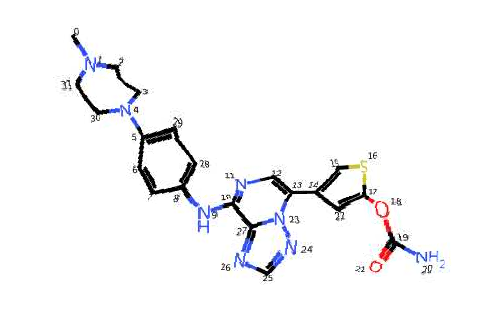 CN1CCN(c2ccc(Nc3ncc(-c4csc(OC(N)=O)c4)n4ncnc34)cc2)CC1